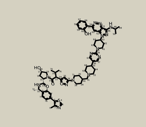 Cc1ncsc1-c1ccc([C@H](C)NC(=O)[C@@H]2C[C@@H](O)CN2C(=O)C(c2cc(N3CCC(CN4CCC(c5cnc(N6CCC(n7nc(NC(C)C)c8nnc(-c9ccccc9O)cc87)CC6)nc5)CC4)CC3)no2)C(C)C)cc1